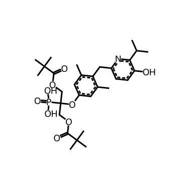 Cc1cc(OC(COC(=O)C(C)(C)C)(COC(=O)C(C)(C)C)P(=O)(O)O)cc(C)c1Cc1ccc(O)c(C(C)C)n1